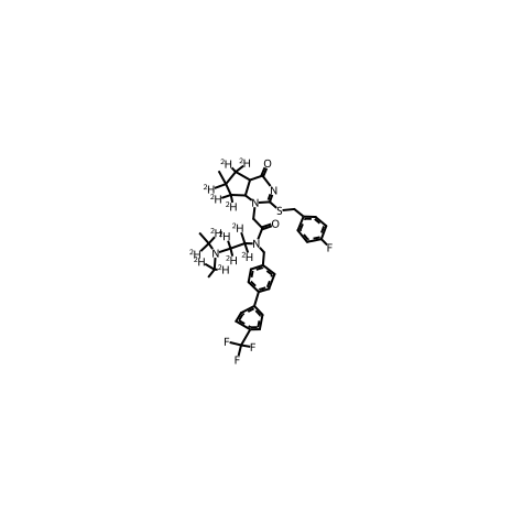 [2H]C([2H])(C)N(C([2H])([2H])C)C([2H])([2H])C([2H])([2H])N(Cc1ccc(-c2ccc(C(F)(F)F)cc2)cc1)C(=O)CN1C(SCc2ccc(F)cc2)=NC(=O)C2C1C([2H])([2H])C([2H])(C)C2([2H])[2H]